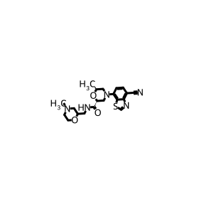 C[C@@H]1CN(c2ccc(C#N)c3ncsc23)C[C@H](C(=O)NCC2CN(C)CCO2)O1